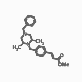 COC(=O)/C=C/c1ccc(CN2[C@H](C)CN(Cc3ccccc3)C[C@@H]2C)cc1